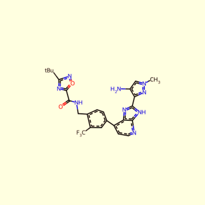 Cn1cc(N)c(-c2nc3c(-c4ccc(CNC(=O)c5nc(C(C)(C)C)no5)c(C(F)(F)F)c4)ccnc3[nH]2)n1